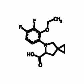 CCOc1c(N2CC3(CC3)CC2C(=O)O)ccc(F)c1F